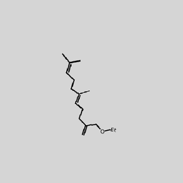 C=C(CC/C=C(\C)CCC=C(C)C)COCC